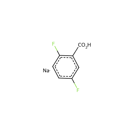 O=C(O)c1cc(F)ccc1F.[Na]